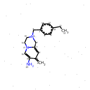 C=C1C=C2CN(Cc3ccc(CC)cc3)CCN2C=C1N